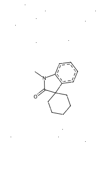 CN1C(=O)C2(CCCCC2)c2ccccc21